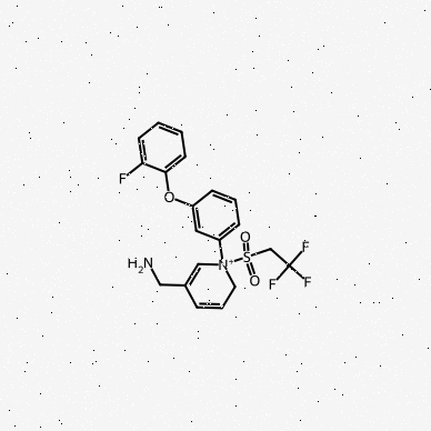 NCC1=C[N+](c2cccc(Oc3ccccc3F)c2)(S(=O)(=O)CC(F)(F)F)CC=C1